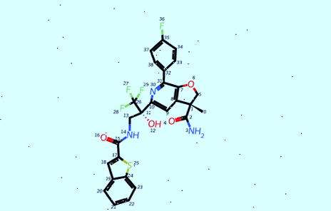 C[C@]1(C(N)=O)COc2c1cc([C@@](O)(CNC(=O)c1cc3ccccc3s1)C(F)(F)F)nc2-c1ccc(F)cc1